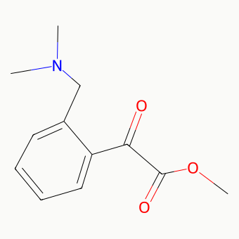 COC(=O)C(=O)c1ccccc1CN(C)C